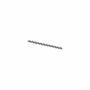 CCCCC/C=C/CCCCCCCCCCCCCCCCCC